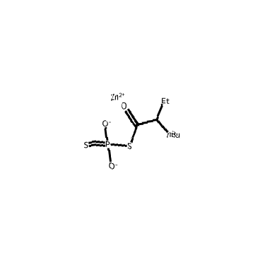 CCCCC(CC)C(=O)SP([O-])([O-])=S.[Zn+2]